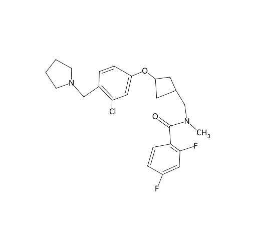 CN(CC1CC(Oc2ccc(CN3CCCC3)c(Cl)c2)C1)C(=O)c1ccc(F)cc1F